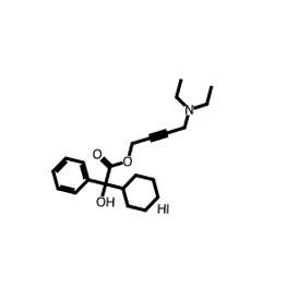 CCN(CC)CC#CCOC(=O)C(O)(c1ccccc1)C1CCCCC1.I